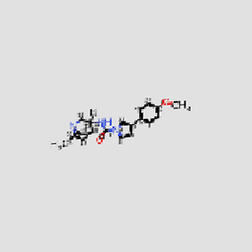 COc1ccc(-c2ccn(C(=O)N[C@H]3CN4CCC3CC4C)c2)cc1